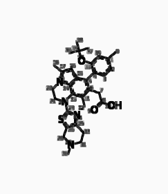 Cc1ccc(-c2c(CC(=O)O)c(C)c3c4c2cc(C)n4CCN3c2nc3c(s2)CN(C)CC3)c(OC(C)(C)C)c1